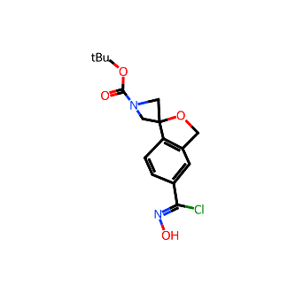 CC(C)(C)OC(=O)N1CC2(C1)OCc1cc(/C(Cl)=N/O)ccc12